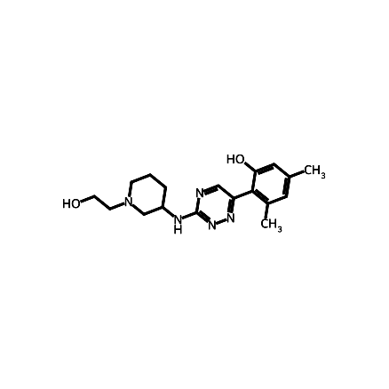 Cc1cc(C)c(-c2cnc(NC3CCCN(CCO)C3)nn2)c(O)c1